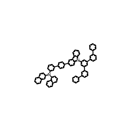 c1ccc(-c2cccc(-c3cc(-c4cccc(-c5ccccc5)c4)cc(-n4c5ccccc5c5cc(-c6ccc(-c7cccc(N(c8ccc9ccccc9c8)c8cccc9ccccc89)c7)cc6)ccc54)c3)c2)cc1